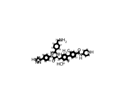 Cc1cc(C(=O)NC2CCNCC2)ccc1-c1ccc(C[C@H](NC(=O)C2CCC(CN)CC2)C(=O)Nc2ccc(-c3nn[nH]n3)cc2)cc1F.Cl